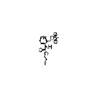 CCCCOC(=O)Nc1cccnc1COS(C)(=O)=O